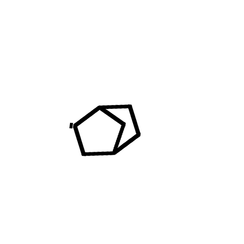 [C]1CC2CCC1C2